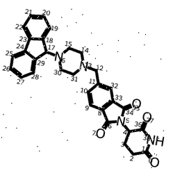 O=C1CCC(N2C(=O)c3ccc(CN4CCN(C5c6ccccc6-c6ccccc65)CC4)cc3C2=O)C(=O)N1